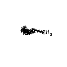 CCCCCCCC1CCC(c2ccc(OC(F)(F)C(F)C(F)(F)F)cc2)CC1